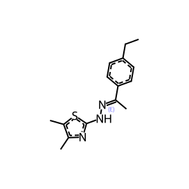 CCc1ccc(/C(C)=N/Nc2nc(C)c(C)s2)cc1